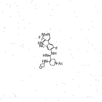 CN/C=C(\C(=N)C(F)(F)F)c1cc(F)c(NC(=N)C2=C(NC3COC3)CCN(C(C)=O)C2)cc1C#N